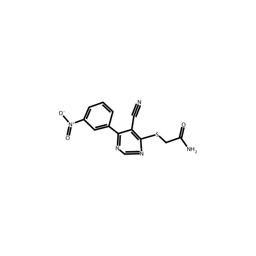 N#Cc1c(SCC(N)=O)ncnc1-c1cccc([N+](=O)[O-])c1